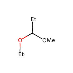 C[CH]OC(CC)OC